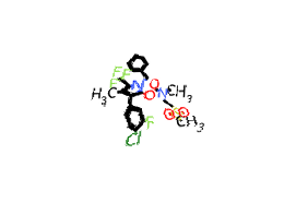 Cc1c(-c2ccc(Cl)c(F)c2)c(OC(=O)N(C)CCS(C)(=O)=O)n(Cc2ccccc2)c1C(F)(F)F